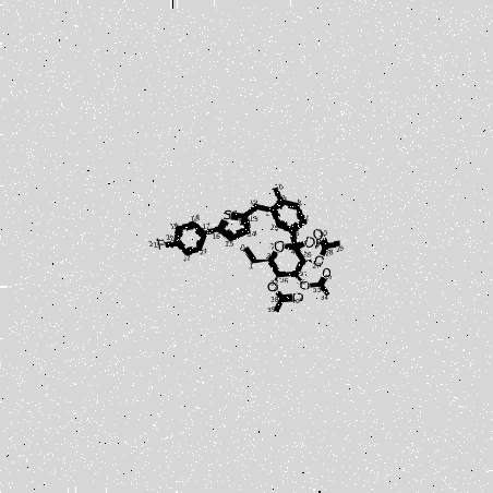 CC[C@H]1OC(O)(c2ccc(C)c(Cc3ccc(-c4ccc(F)cc4)s3)c2)[C@H](OC(C)=O)[C@@H](OC(C)=O)[C@@H]1OC(C)=O